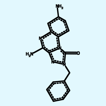 Nc1ccc2c(c1)nc(N)c1nn(Cc3ccccc3)c(=O)n12